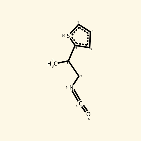 CC(CN=C=O)c1cccs1